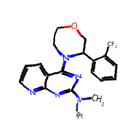 CC(C)N(C)c1nc(N2CCOCC2c2ccccc2C(F)(F)F)c2cccnc2n1